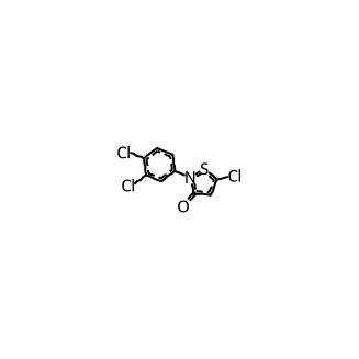 O=c1cc(Cl)sn1-c1ccc(Cl)c(Cl)c1